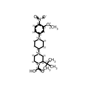 COc1cc(N2CCC(N3CCN(C(=O)O)C(C(C)(C)C)C3)CC2)ccc1[N+](=O)[O-]